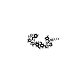 CCOC(=O)N[C@@H](C(=O)N1CCC[C@H]1c1ncc(-c2cc3c4c(c2)OCc2cc(-c5cnc([C@@H]6CCCN6C(=O)[C@H](NC(=O)OCC)c6ccccc6)[nH]5)cc(c2-4)OC3)[nH]1)c1ccccc1